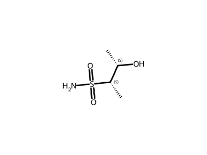 C[C@H](O)[C@H](C)S(N)(=O)=O